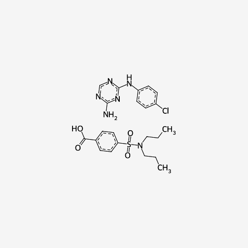 CCCN(CCC)S(=O)(=O)c1ccc(C(=O)O)cc1.Nc1ncnc(Nc2ccc(Cl)cc2)n1